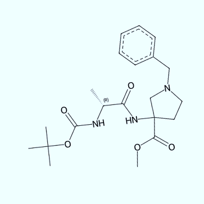 COC(=O)C1(NC(=O)[C@@H](C)NC(=O)OC(C)(C)C)CCN(Cc2ccccc2)C1